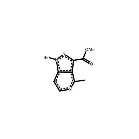 COC(=O)c1nn(C(C)C)c2ccnc(C)c12